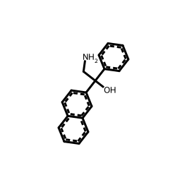 NCC(O)(c1ccccc1)c1ccc2ccccc2c1